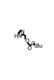 CC(C)(C)OC(=O)COCCc1ncc[nH]1